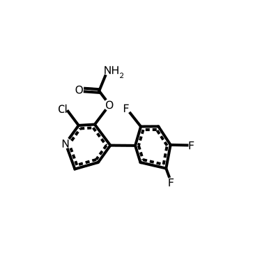 NC(=O)Oc1c(-c2cc(F)c(F)cc2F)ccnc1Cl